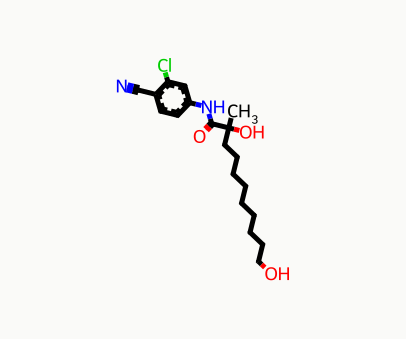 CC(O)(CCCCCCCCCO)C(=O)Nc1ccc(C#N)c(Cl)c1